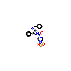 CN(Cc1ccccc1)[C@H]1CN(C(=O)N2CCN(S(C)(=O)=O)CC2)C[C@@H]1c1ccccc1